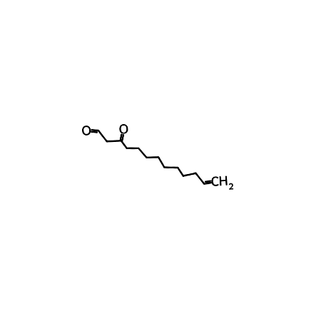 C=CCCCCCCCCC(=O)CC=O